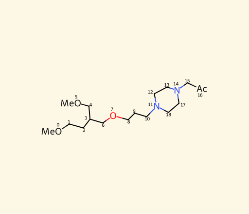 COCCC(COC)COCCCN1CCN(CC(C)=O)CC1